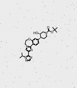 CC(C)n1ncnc1-c1cn2c(n1)-c1ccc([C@@H]3CCN(C(=O)OC(C)(C)C)C[C@@H]3O)cc1OCC2